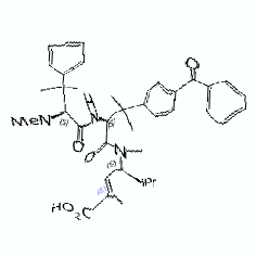 CN[C@H](C(=O)N[C@H](C(=O)N(C)[C@H](/C=C(\C)C(=O)O)C(C)C)C(C)(C)c1ccc(C(=O)c2ccccc2)cc1)C(C)(C)c1ccccc1